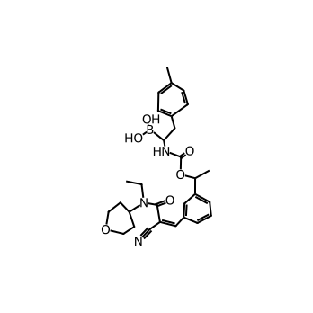 CCN(C(=O)C(C#N)=Cc1cccc(C(C)OC(=O)NC(Cc2ccc(C)cc2)B(O)O)c1)C1CCOCC1